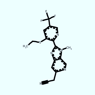 CCSc1cc(C(F)(F)F)cnc1-c1nc2cc(CC#N)ncc2n1C